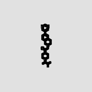 CC(C)C(C)N1CCN(C(=O)CN2CCc3cc(-c4cncnc4)ccc3C2)CC1